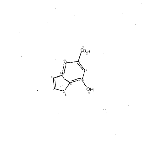 O=C(O)c1cc(O)c2sccc2n1